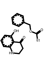 CCC(=O)OCc1ccccc1.O=C1CCNc2cccc(O)c21